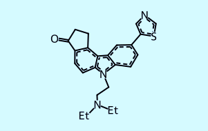 CCN(CC)CCn1c2ccc(-c3cncs3)cc2c2c3c(ccc21)C(=O)CC3